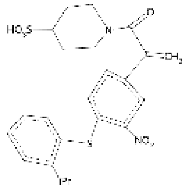 C=C(C(=O)N1CCC(S(=O)(=O)O)CC1)c1ccc(Sc2ccccc2C(C)C)c([N+](=O)[O-])c1